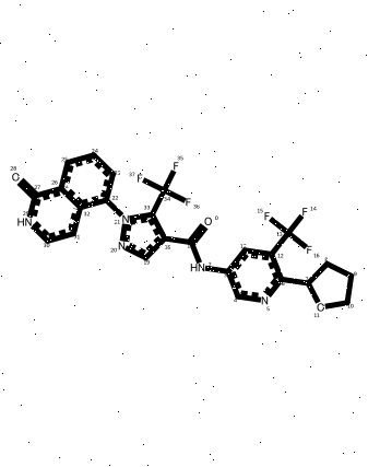 O=C(Nc1cnc(C2CCCO2)c(C(F)(F)F)c1)c1cnn(-c2cccc3c(=O)[nH]ccc23)c1C(F)(F)F